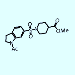 COC(=O)C1CCN(S(=O)(=O)c2ccc3c(c2)N(C(C)=O)CC3)CC1